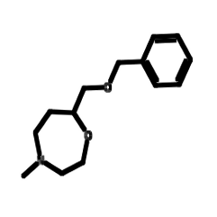 CN1CCOC(COCc2ccccc2)CC1